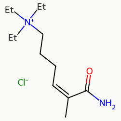 CC[N+](CC)(CC)CCCC=C(C)C(N)=O.[Cl-]